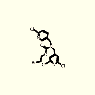 O=C(OCCBr)N(Cc1ccc(Cl)nc1)Cc1cc(Cl)nc(Cl)c1